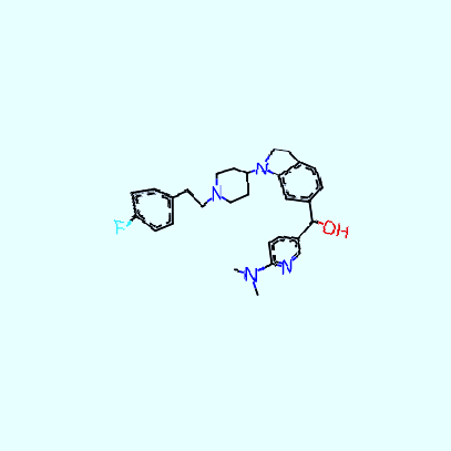 CN(C)c1ccc(C(O)c2ccc3c(c2)N(C2CCN(CCc4ccc(F)cc4)CC2)CC3)cn1